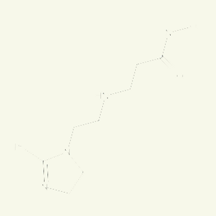 CC(C)C1=NCCN1CCNCCC(=O)NO